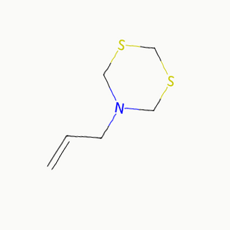 C=CCN1CSCSC1